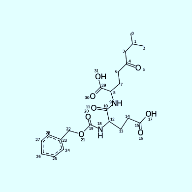 CC(C)CC(=O)CCC(NC(=O)C(CCC(=O)O)NC(=O)OCc1ccccc1)C(=O)O